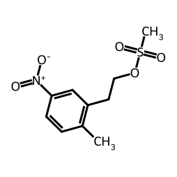 Cc1ccc([N+](=O)[O-])cc1CCOS(C)(=O)=O